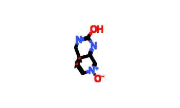 [O-][N+]1=CC2=NC(O)=NCC23C=CC=CC3=C1